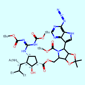 CCC(CC)[C@H](NC(C)=O)[C@@H]1[C@H](O)[C@@H](C(=O)OCC2C3OC(C)(C)OC3C(c3c[nH]c4c(N=[N+]=[N-])ncnc34)N2C(=O)OC(C)(C)C)C[C@H]1N/C(=N\C(=O)OC(C)(C)C)NC(=O)OC(C)(C)C